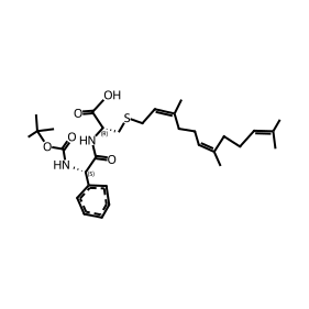 CC(C)=CCCC(C)=CCCC(C)=CCSC[C@H](NC(=O)[C@@H](NC(=O)OC(C)(C)C)c1ccccc1)C(=O)O